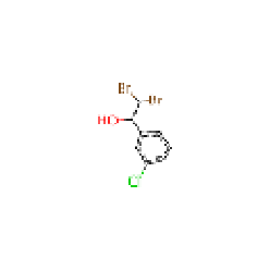 OC(c1cccc(Cl)c1)C(Br)Br